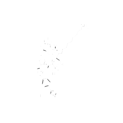 Cc1ncsc1-c1ccc(CNC(=O)[C@@H]2C[C@@H](OC(=O)OC(C)C(C)SS(C)(=O)=O)CN2C(=O)[C@@H](NC(=O)CCCCCCCCCCN)C(C)(C)C)cc1